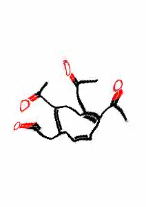 CC(=O)c1ccc(C=O)c(C(C)=O)c1C(C)=O